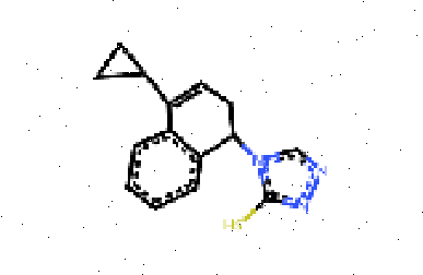 Sc1nncn1C1CC=C(C2CC2)c2ccccc21